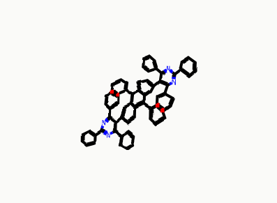 c1ccc(-c2nc(-c3ccccc3)c(-c3ccc4c(-c5ccccc5)c5cc(-c6c(-c7ccccc7)nc(-c7ccccc7)nc6-c6ccccc6)ccc5c(-c5ccccc5)c4c3)c(-c3ccccc3)n2)cc1